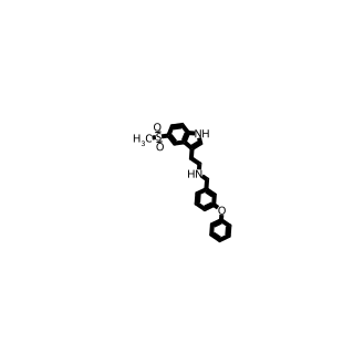 CS(=O)(=O)c1ccc2[nH]cc(CCNCc3cccc(Oc4ccccc4)c3)c2c1